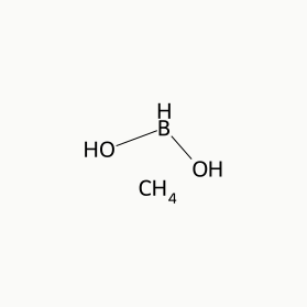 C.OBO